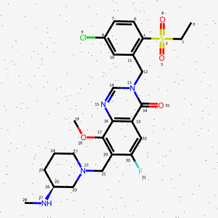 CCS(=O)(=O)c1ccc(Cl)cc1Cn1cnc2c(OC)c(CN3CCC[C@H](NC)C3)c(F)cc2c1=O